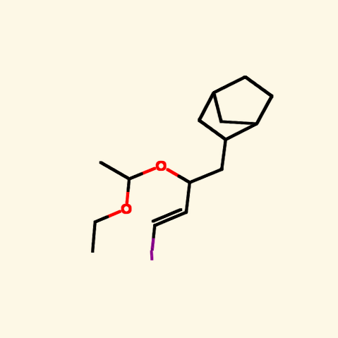 CCOC(C)OC(C=CI)CC1CC2CCC1C2